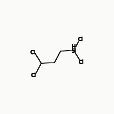 ClC(Cl)CC[SiH](Cl)Cl